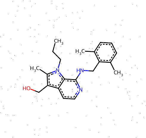 CCCn1c(C)c(CO)c2ccnc(NCc3c(C)cccc3C)c21